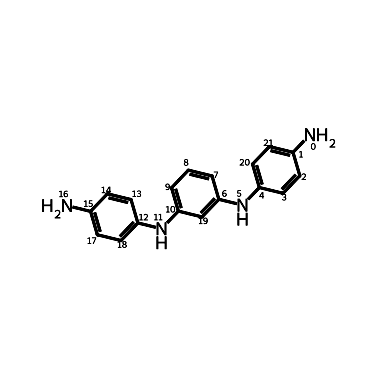 Nc1ccc(Nc2cccc(Nc3ccc(N)cc3)c2)cc1